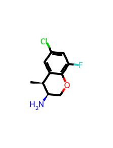 C[C@H]1c2cc(Cl)cc(F)c2OC[C@H]1N